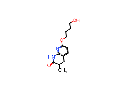 CC1Cc2ccc(OCCCCO)nc2NC1=O